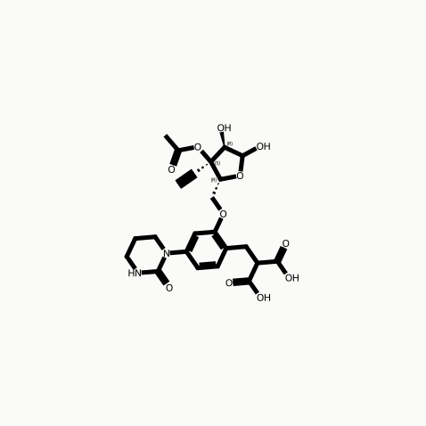 C#C[C@@]1(OC(C)=O)[C@@H](COc2cc(N3CCCNC3=O)ccc2CC(C(=O)O)C(=O)O)OC(O)[C@@H]1O